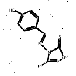 CCc1n[nH]c(=S)n1N=Cc1ccc(O)cc1